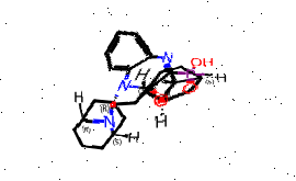 CC1(C)[C@H]2CC[C@@H](CCN3[C@@H]4CCC[C@H]3C[C@@H](n3c(=O)c(P(C)(=O)O)nc5ccccc53)C4)[C@@H]1C2